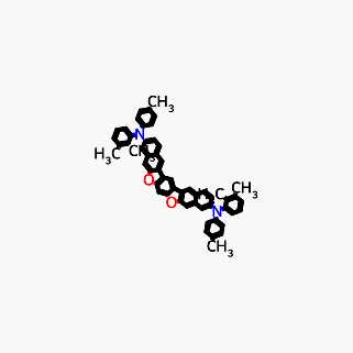 Cc1ccc(N(c2ccc3cc4c(cc3c2)oc2cc3oc5cc6cc(N(c7ccc(C)cc7)c7cccc(C)c7C)ccc6cc5c3cc24)c2cccc(C)c2C)cc1